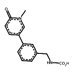 Cn1cc(-c2cccc(CNC(=O)O)c2)ccc1=O